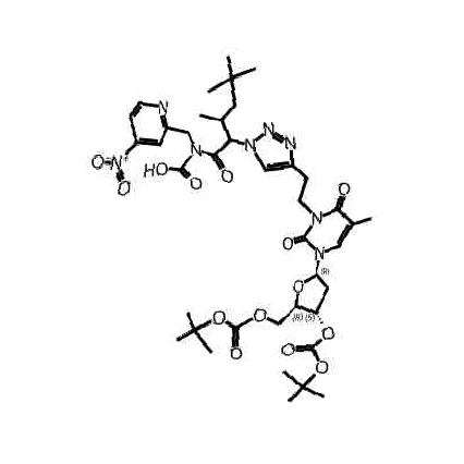 Cc1cn([C@H]2C[C@H](OC(=O)OC(C)(C)C)[C@@H](COC(=O)OC(C)(C)C)O2)c(=O)n(CCc2cn(C(C(=O)N(Cc3cc([N+](=O)[O-])ccn3)C(=O)O)C(C)CC(C)(C)C)nn2)c1=O